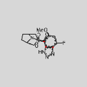 COc1cc(F)ccc1S(=O)(=O)N1C2CCC1CN(C(=O)c1cnn[nH]1)C2